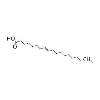 CCCCCCCCC/C=C/C=C/CCCCC(=O)O